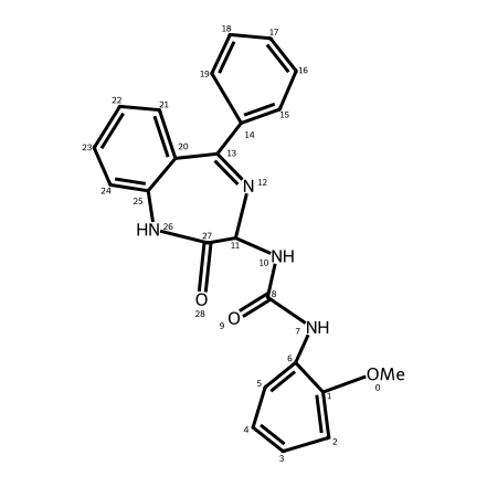 COc1ccccc1NC(=O)NC1N=C(c2ccccc2)c2ccccc2NC1=O